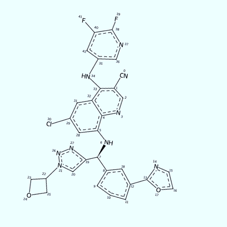 N#Cc1cnc2c(N[C@@H](c3cccc(-c4ncco4)c3)c3cn(C4COC4)nn3)cc(Cl)cc2c1Nc1cnc(F)c(F)c1